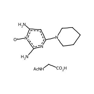 CC(=O)NCC(=O)O.Nc1cc(N2CCCCC2)nc(N)[n+]1[O-]